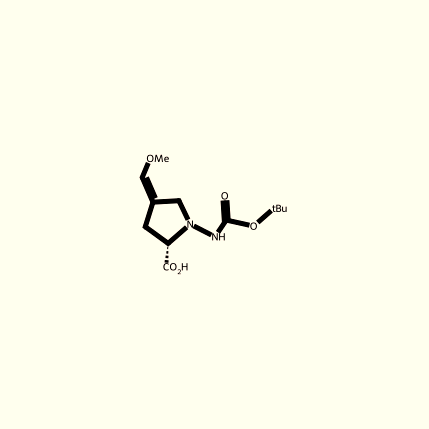 COC=C1C[C@@H](C(=O)O)N(NC(=O)OC(C)(C)C)C1